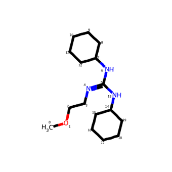 COCCN=C(NC1CCCCC1)NC1CCCCC1